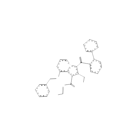 CCOC(=O)c1c(CC)c(C(=O)c2ccccc2-c2ccccc2)n2cccc(OCc3ccccc3)c12